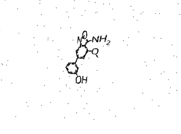 COc1cc(-c2cccc(O)c2)cc2noc(N)c12